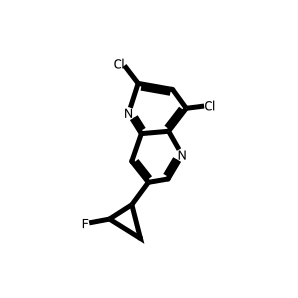 FC1CC1c1cnc2c(Cl)cc(Cl)nc2c1